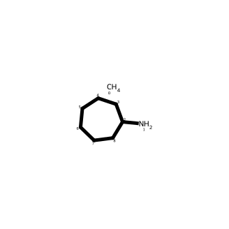 C.NC1CCCCCC1